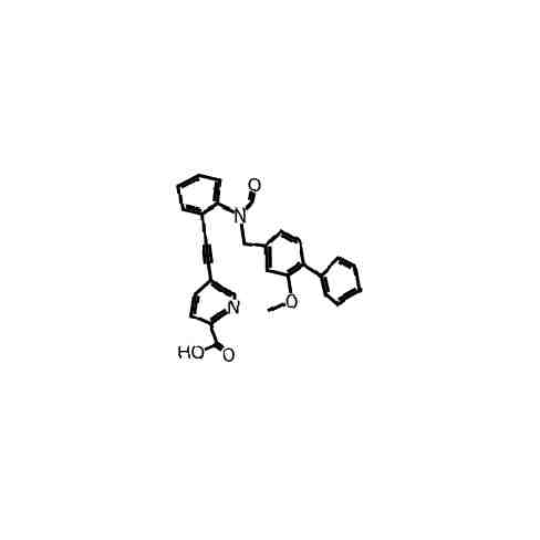 COc1cc(CN(C=O)c2ccccc2C#Cc2ccc(C(=O)O)nc2)ccc1-c1ccccc1